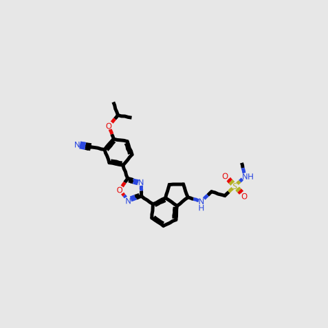 CNS(=O)(=O)CCNC1CCc2c(-c3noc(-c4ccc(OC(C)C)c(C#N)c4)n3)cccc21